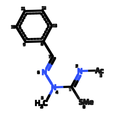 CSC(=NC(C)=O)N(C)N=Cc1ccccc1